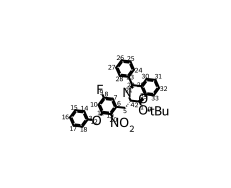 CC(C)(C)OC(=O)[C@H](Cc1cc(F)cc(Oc2ccccc2)c1[N+](=O)[O-])N=C(c1ccccc1)c1ccccc1